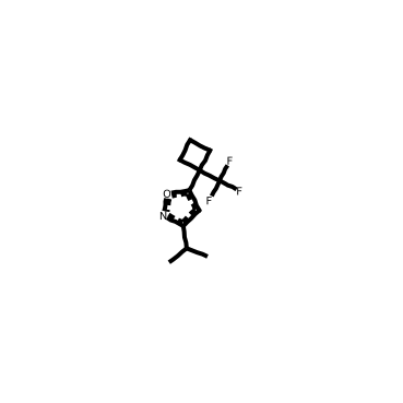 CC(C)c1cc(C2(C(F)(F)F)CCC2)on1